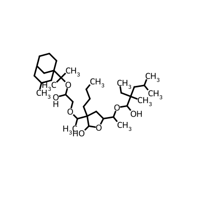 CCCCC1(C(C)OCC(O)OC(C)(C)C23CCCC(CC(C)C2)C3)CC(C(C)OC(O)C(C)(CC)CC(C)C)OC1O